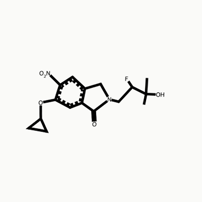 CC(C)(O)C(F)CN1Cc2cc([N+](=O)[O-])c(OC3CC3)cc2C1=O